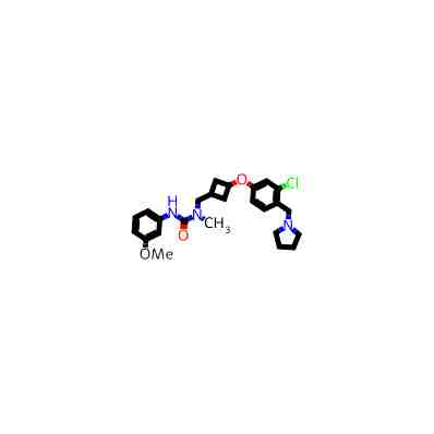 COc1cccc(NC(=O)N(C)CC2CC(Oc3ccc(CN4CCCC4)c(Cl)c3)C2)c1